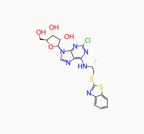 C[C@H](CSc1nc2ccccc2s1)Nc1nc(Cl)nc2c1ncn2[C@H]1O[C@@H](CO)[C@H](O)[C@@H]1O